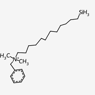 C[N+](C)(CCCCCCCCCCCC[SiH3])Cc1ccccc1